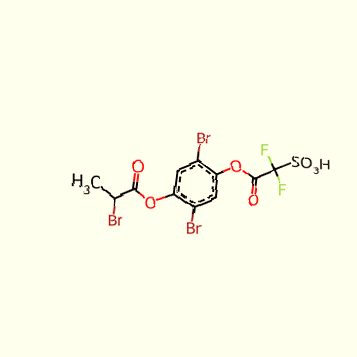 CC(Br)C(=O)Oc1cc(Br)c(OC(=O)C(F)(F)S(=O)(=O)O)cc1Br